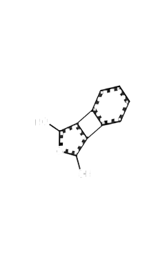 Oc1oc(O)c2c1-c1ccccc1-2